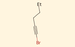 [CH2]CCCC#CBr